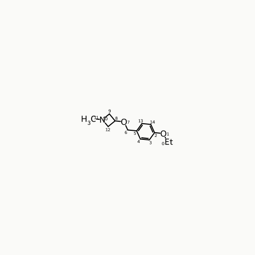 CCOc1ccc(COC2CN(C)C2)cc1